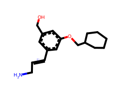 NC/C=C/c1cc(CO)cc(OCC2CCCCC2)c1